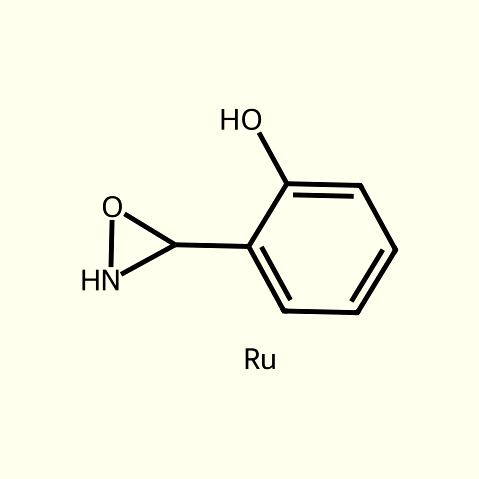 Oc1ccccc1C1NO1.[Ru]